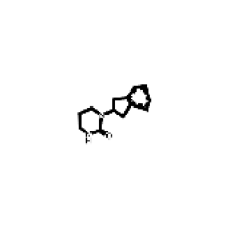 O=C1NCCCN1C1Cc2ccccc2C1